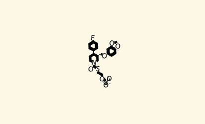 O=C(SCCO[N+](=O)[O-])N1CC[C@@H](c2ccc(F)cc2)[C@H](COc2ccc3c(c2)OCO3)C1